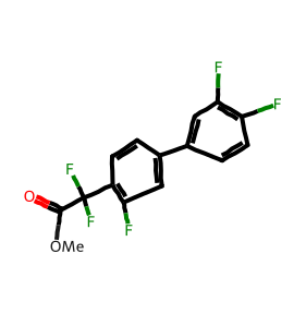 COC(=O)C(F)(F)c1ccc(-c2ccc(F)c(F)c2)cc1F